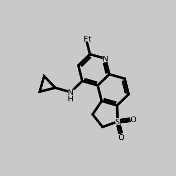 CCc1cc(NC2CC2)c2c3c(ccc2n1)S(=O)(=O)CC3